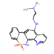 CN(C)CCNc1cc2c(c3ncccc13)NS(=O)(=O)c1ccccc1-2